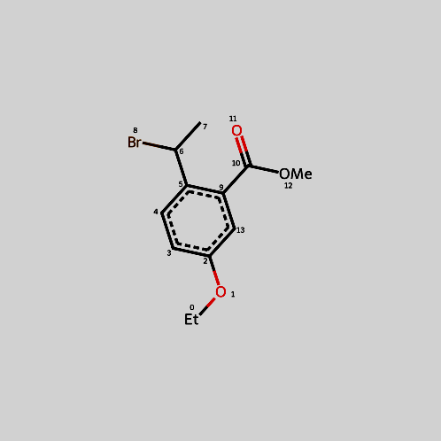 CCOc1ccc(C(C)Br)c(C(=O)OC)c1